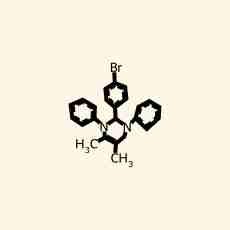 CC1=C(C)N(c2ccccc2)C(c2ccc(Br)cc2)N(c2ccccc2)C1